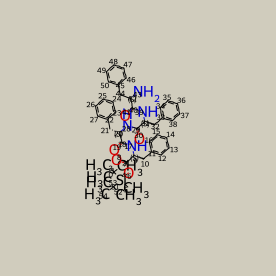 CC(C)(C)[Si](C)(OC(=O)[C@H](Cc1ccccc1)NC(=O)[C@H](Cc1ccccc1)NC(=O)[C@H](Cc1ccccc1)NC(=O)[C@@H](N)Cc1ccccc1)C(C)(C)C